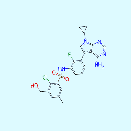 Cc1cc(CO)c(Cl)c(S(=O)(=O)Nc2cccc(-c3cn(C4CC4)c4ncnc(N)c34)c2F)c1